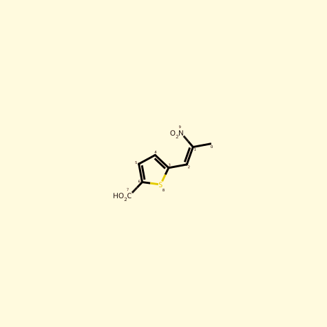 C/C(=C/c1ccc(C(=O)O)s1)[N+](=O)[O-]